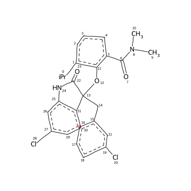 CC(C)c1cccc(C(=O)N(C)C)c1OC1(Cc2cccc(Cl)c2)C(=O)Nc2cc(Cl)ccc21